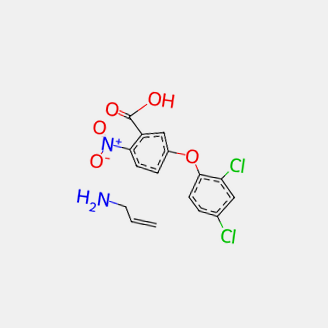 C=CCN.O=C(O)c1cc(Oc2ccc(Cl)cc2Cl)ccc1[N+](=O)[O-]